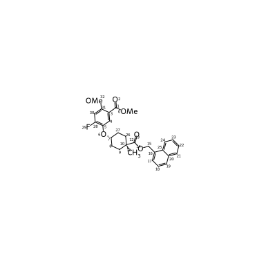 COC(=O)c1cc(O[C@H]2CC[C@@](C)(C(=O)OCc3cccc4ccccc34)CC2)c(F)cc1OC